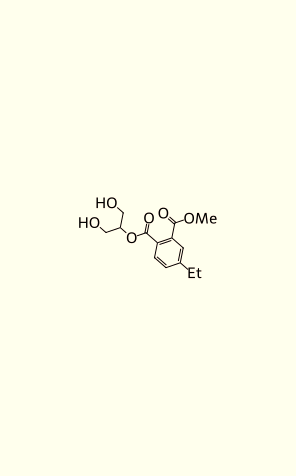 CCc1ccc(C(=O)OC(CO)CO)c(C(=O)OC)c1